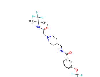 CC(C)(NC(=O)CN1CCC(CNC(=O)c2cccc(OC(F)(F)F)c2)CC1)C(F)(F)F